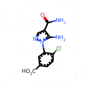 NC(=O)c1cnn(-c2cc(C(=O)O)ccc2Cl)c1N